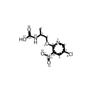 CC(COc1ncc(Cl)cc1[N+](=O)[O-])NC(=O)O